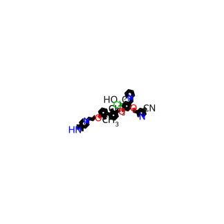 Cc1c(COc2cc(OCc3cncc(C#N)c3)c(CN3CCCC[C@H]3C(=O)O)cc2Cl)cccc1-c1cccc(OCCCN2CCC3(CC2)CNC3)c1C